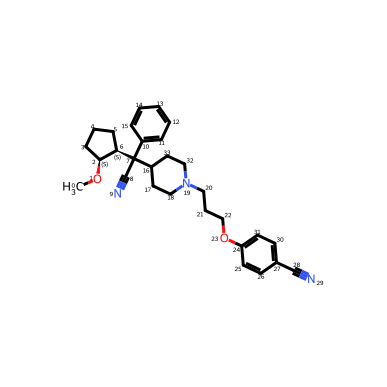 CO[C@H]1CCC[C@H]1C(C#N)(c1ccccc1)C1CCN(CCCOc2ccc(C#N)cc2)CC1